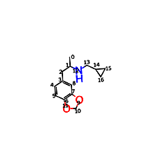 CC(Cc1ccc2c(c1)OCO2)NCC1CC1